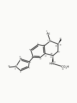 CC(=O)N1c2ccc(-c3ccn(C)n3)cc2[C@H](NC(=O)O)C[C@@H]1C